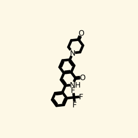 O=C1CCN(c2ccc3cc(-c4ccccc4C(F)(F)F)[nH]c(=O)c3c2)CC1